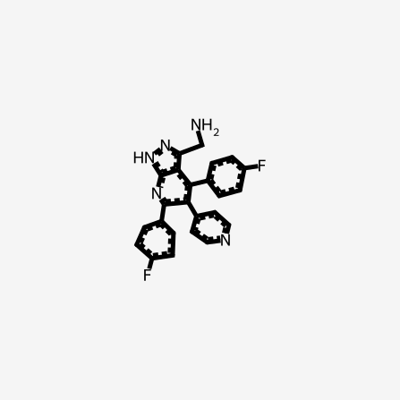 NCc1n[nH]c2nc(-c3ccc(F)cc3)c(-c3ccncc3)c(-c3ccc(F)cc3)c12